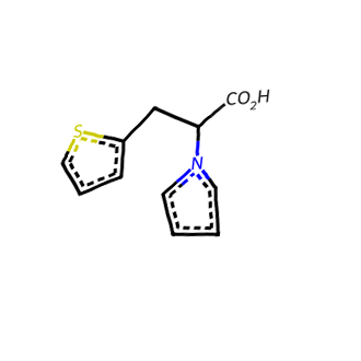 O=C(O)C(Cc1cccs1)n1cccc1